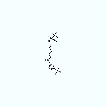 CC(C)(C)S(=O)(=O)NCCCCCNc1nnc(C(F)(F)F)s1